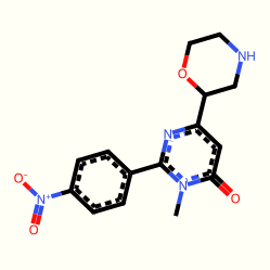 Cn1c(-c2ccc([N+](=O)[O-])cc2)nc(C2CNCCO2)cc1=O